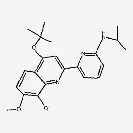 COc1ccc2c(OC(C)(C)C)cc(-c3cccc(NC(C)C)n3)nc2c1Cl